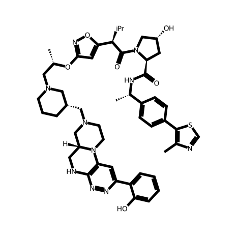 Cc1ncsc1-c1ccc([C@H](C)NC(=O)[C@@H]2C[C@@H](O)CN2C(=O)[C@@H](c2cc(O[C@@H](C)CN3CCC[C@@H](CN4CCN5c6cc(-c7ccccc7O)nnc6NC[C@@H]5C4)C3)no2)C(C)C)cc1